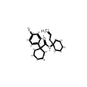 C=CCC1(OC(=O)C2(c3ccc(F)cc3)CCCCC2)CCCCC1